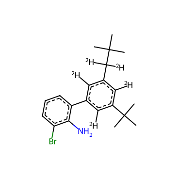 [2H]c1c(-c2cccc(Br)c2N)c([2H])c(C([2H])([2H])C(C)(C)C)c([2H])c1C(C)(C)C